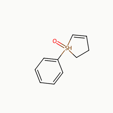 O=[SH]1(c2ccccc2)C=CCC1